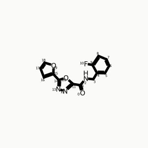 O=C(NCc1ccccc1F)c1nnc(-c2ccco2)o1